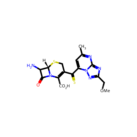 COCc1nc2nc(C)cc(C(=S)C3=C(C(=O)O)N4C(=O)C(N)[C@@H]4SC3)n2n1